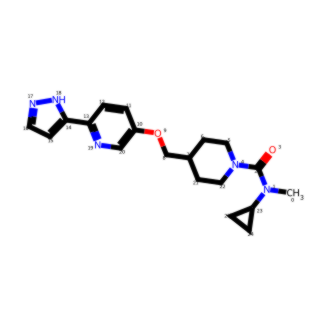 CN(C(=O)N1CCC(COc2ccc(-c3ccn[nH]3)nc2)CC1)C1CC1